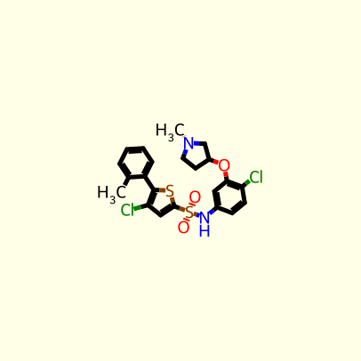 Cc1ccccc1-c1sc(S(=O)(=O)Nc2ccc(Cl)c(OC3CCN(C)C3)c2)cc1Cl